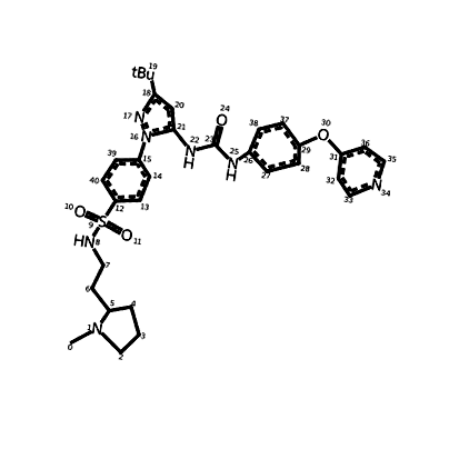 CN1CCCC1CCNS(=O)(=O)c1ccc(-n2nc(C(C)(C)C)cc2NC(=O)Nc2ccc(Oc3ccncc3)cc2)cc1